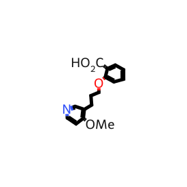 COc1ccncc1CCCOc1ccccc1C(=O)O